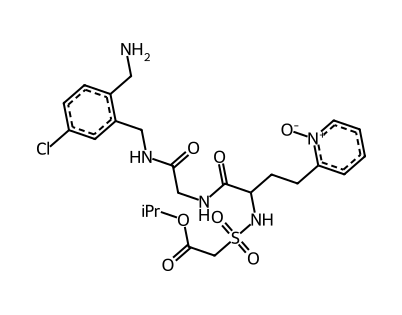 CC(C)OC(=O)CS(=O)(=O)NC(CCc1cccc[n+]1[O-])C(=O)NCC(=O)NCc1cc(Cl)ccc1CN